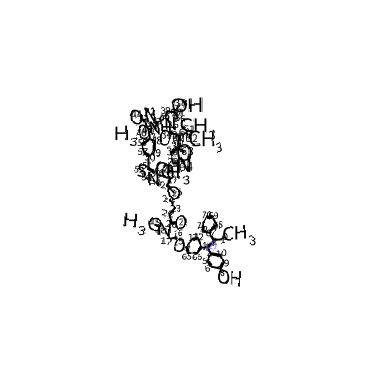 CC/C(=C(\c1ccc(O)cc1)c1ccc(OCCN(C)C(=O)CCCOCCOc2cc([C@@H](C(=O)N3C[C@H](O)C[C@@H]3C3=NC(=O)[C@](C)(c4ccc(-c5scnc5C)cc4)N3)C(C)C)on2)cc1)c1ccccc1